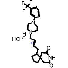 Cl.Cl.O=C1CC2(CCCC2C/C=C/CN2CCN(c3cccc(C(F)(F)F)c3)CC2)CC(=O)N1